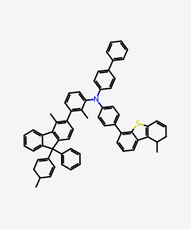 Cc1c(-c2ccc3c(c2C)-c2ccccc2C3(C2=CCC(C)C=C2)c2ccccc2)cccc1N(c1ccc(-c2ccccc2)cc1)c1ccc(-c2cccc3c4c(sc23)C=CCC4C)cc1